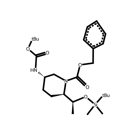 C[C@H](O[Si](C)(C)C(C)(C)C)[C@H]1CC[C@H](NC(=O)OC(C)(C)C)CN1C(=O)OCc1ccccc1